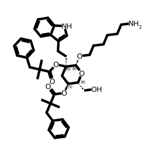 CC(C)(Cc1ccccc1)C(=O)O[C@H]1C[C@@](CCc2c[nH]c3ccccc23)(OC(=O)C(C)(C)Cc2ccccc2)[C@H](OCCCCCCN)O[C@@H]1CO